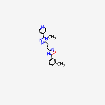 Cc1cccc(-c2nc(CCc3nnc(-c4ccncc4)n3C)no2)c1